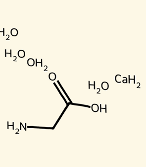 NCC(=O)O.O.O.O.O.[CaH2]